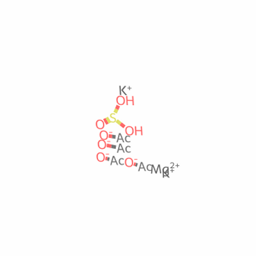 CC(=O)[O-].CC(=O)[O-].CC(=O)[O-].CC(=O)[O-].O=S(O)O.[K+].[K+].[Mg+2]